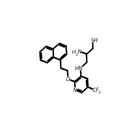 NC(CS)CNc1cc(C(F)(F)F)cnc1OCCc1cccc2ccccc12